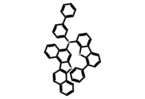 c1ccc(-c2cccc(N(c3cc4sc5c6ccccc6ccc5c4c4ccccc34)c3cccc4c3oc3c(-c5ccccc5)cccc34)c2)cc1